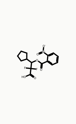 O=C(OC(C1CCCC1)C(F)(F)C(=O)O)c1ccccc1[N+](=O)[O-]